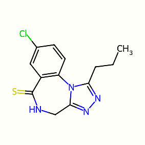 CCCc1nnc2n1-c1ccc(Cl)cc1C(=S)NC2